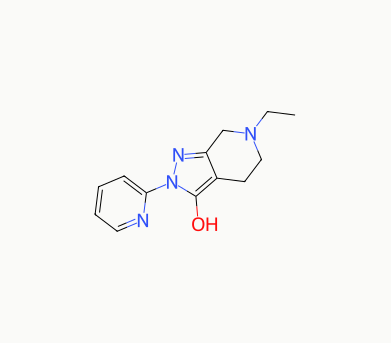 CCN1CCc2c(nn(-c3ccccn3)c2O)C1